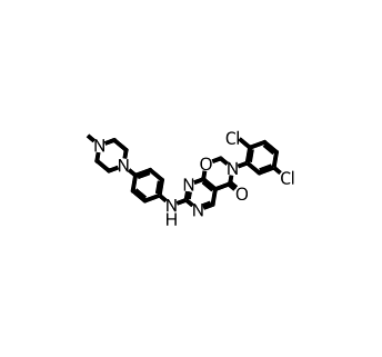 CN1CCN(c2ccc(Nc3ncc4c(n3)OCN(c3cc(Cl)ccc3Cl)C4=O)cc2)CC1